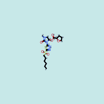 CCCCCCS(=O)(=O)c1nnc(N2C(=O)N(C)CC2OC(=O)C2CCCO2)s1